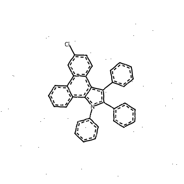 Clc1ccc2c(c1)c1ccccc1c1c2c(-c2ccccc2)c(-c2ccccc2)n1-c1ccccc1